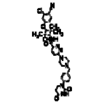 CC1(C)C(NC(=O)c2ccc(N3CCN(Cc4ccc(N5CCC(=O)NC5=O)cc4)CC3)nn2)C(C)(C)C1Oc1ccc(C#N)c(Cl)c1